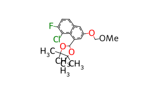 COCOc1cc(C2OC(C)(C)C(C)(C)O2)c2c(Cl)c(F)ccc2c1